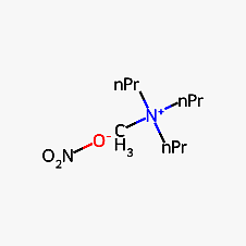 CCC[N+](C)(CCC)CCC.O=[N+]([O-])[O-]